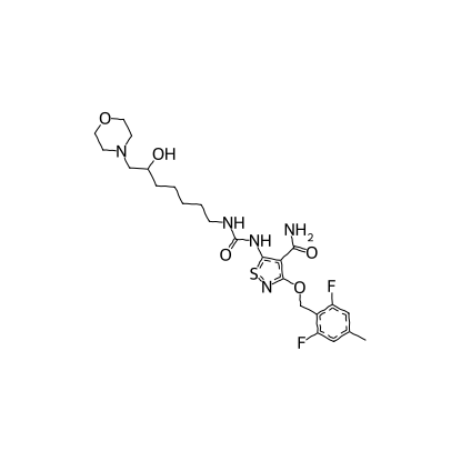 Cc1cc(F)c(COc2nsc(NC(=O)NCCCCCC(O)CN3CCOCC3)c2C(N)=O)c(F)c1